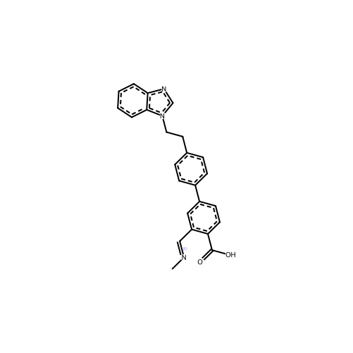 C/N=C/c1cc(-c2ccc(CCn3cnc4ccccc43)cc2)ccc1C(=O)O